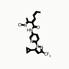 C/C=C\C=C(\C(=O)Nc1ccc(-n2nc(C(F)(F)F)cc2C2CC2)nc1)C(C)=NCl